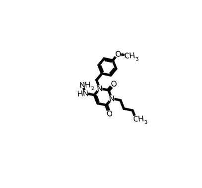 CCCCn1c(=O)cc(NN)n(Cc2ccc(OC)cc2)c1=O